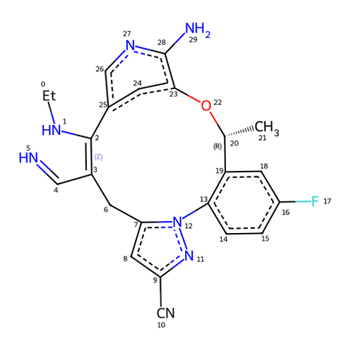 CCN/C1=C(\C=N)Cc2cc(C#N)nn2-c2ccc(F)cc2[C@@H](C)Oc2cc1cnc2N